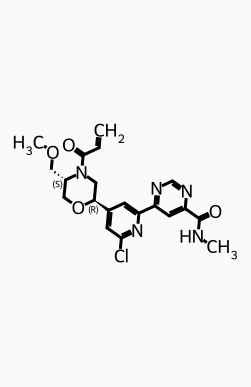 C=CC(=O)N1C[C@@H](c2cc(Cl)nc(-c3cc(C(=O)NC)ncn3)c2)OC[C@@H]1COC